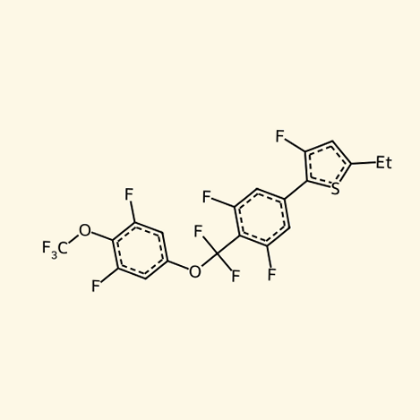 CCc1cc(F)c(-c2cc(F)c(C(F)(F)Oc3cc(F)c(OC(F)(F)F)c(F)c3)c(F)c2)s1